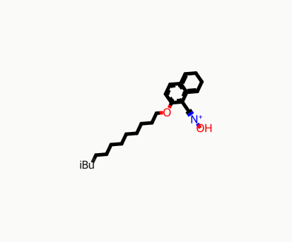 CCC(C)CCCCCCCCCOc1ccc2c(c1C#[N+]O)=CCCC=2